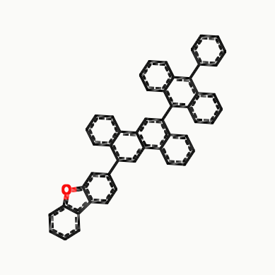 c1ccc(-c2c3ccccc3c(-c3cc4c5ccccc5c(-c5ccc6c(c5)oc5ccccc56)cc4c4ccccc34)c3ccccc23)cc1